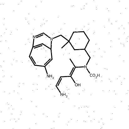 C/C(=C(O)\C=C/N)N(CC1CCCC(C)(CN2C=NC3=CC2C=C(N)C=C3)C1)C(=O)O